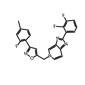 Cc1ccc(-c2cc(Cn3ccc4nc(-c5cccc(F)c5F)nc-4c3)on2)c(F)c1